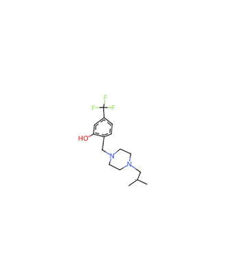 C[C](C)CN1CCN(Cc2ccc(C(F)(F)F)cc2O)CC1